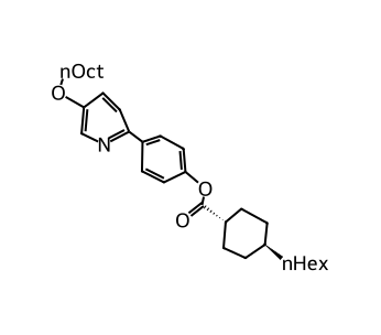 CCCCCCCCOc1ccc(-c2ccc(OC(=O)[C@H]3CC[C@H](CCCCCC)CC3)cc2)nc1